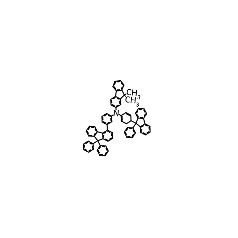 CC1(C)c2ccccc2-c2ccc(N(C3=CCC(C4(c5ccccc5)c5ccccc5-c5ccccc54)C=C3)c3cccc(-c4cccc5c4-c4ccccc4C5(c4ccccc4)c4ccccc4)c3)cc21